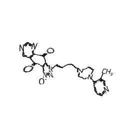 Cc1cnccc1N1CCN(CCCn2n[n+]([O-])c3c2C(=O)c2ncncc2C3=O)CC1